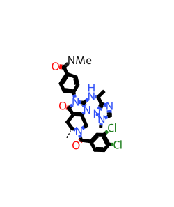 CNC(=O)c1ccc(-n2c(NC(C)c3ncn(C)n3)nc3c(c2=O)C[C@@H](C)N(C(=O)c2ccc(Cl)c(Cl)c2)C3)cc1